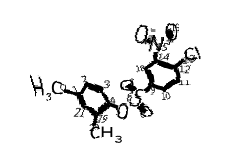 Cc1ccc(OS(=O)(=O)c2ccc(Cl)c([N+](=O)[O-])c2)c(C)c1